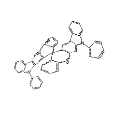 c1ccc(-n2c3ccccc3c3cc4c(cc32)Sc2ccccc2C42c3ccccc3-c3cc4c5ccccc5n(-c5ccccc5)c4cc32)cc1